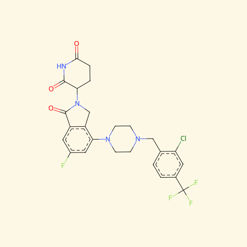 O=C1CCC(N2Cc3c(cc(F)cc3N3CCN(Cc4ccc(C(F)(F)F)cc4Cl)CC3)C2=O)C(=O)N1